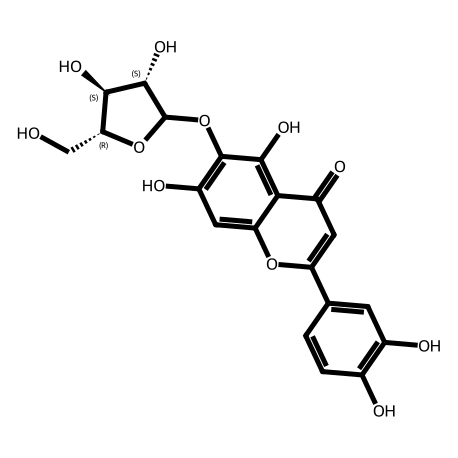 O=c1cc(-c2ccc(O)c(O)c2)oc2cc(O)c(OC3O[C@H](CO)[C@@H](O)[C@@H]3O)c(O)c12